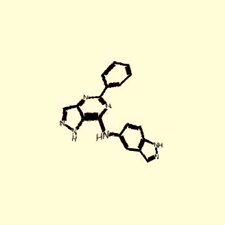 c1ccc(-c2nc(Nc3ccc4[nH]ncc4c3)c3[nH]ncc3n2)cc1